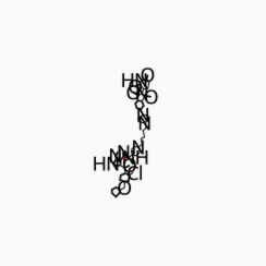 O=C1CCC(N2C(=O)c3ccc(N4CCN(CCCCCN5CCC(Nc6ncnc7[nH]cc(C(=O)c8ccc(Oc9ccccc9)cc8Cl)c67)CC5)CC4)cc3C2=O)C(=O)N1